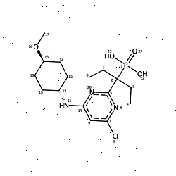 CCC(CC)(c1nc(Cl)cc(N[C@H]2CC[C@H](OC)CC2)n1)P(=O)(O)O